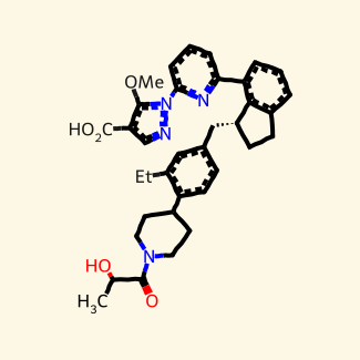 CCc1cc(C[C@H]2CCc3cccc(-c4cccc(-n5ncc(C(=O)O)c5OC)n4)c32)ccc1C1CCN(C(=O)C(C)O)CC1